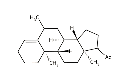 CC(=O)[C]1CC[C@H]2[C@@H]3CC(C)C4=CCCC[C@]4(C)[C@H]3CC[C@]12C